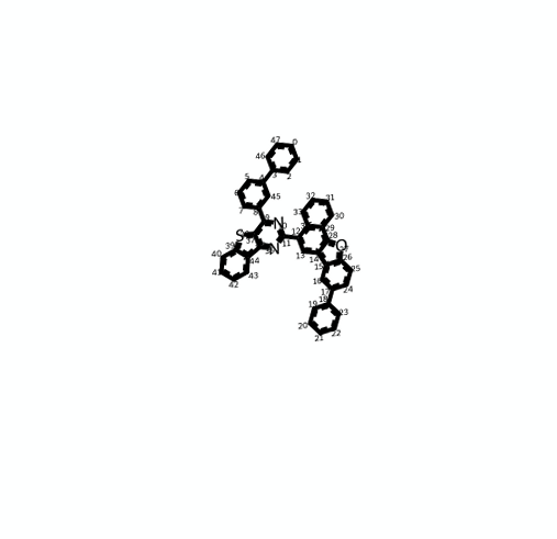 c1ccc(-c2cccc(-c3nc(-c4cc5c6cc(-c7ccccc7)ccc6oc5c5ccccc45)nc4c3sc3ccccc34)c2)cc1